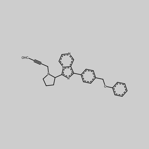 O=CC#CCN1CCCC1c1nc(-c2ccc(COc3ccccc3)cc2)c2cnccn12